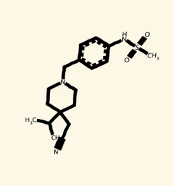 CC(C)C1(CC#N)CCN(Cc2ccc(NS(C)(=O)=O)cc2)CC1